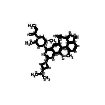 C=CC(=O)N1C[C@H](C)N(c2nc(N3CC(N(C)C)C3)nc3c(F)c(-c4c(C)ccc5[nH]nc(C#N)c45)c(Cl)cc23)CC1C